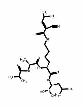 CC(C)C=C(C#N)C(=O)NCCCC[C@H](NC(=O)[C@H](C)NC(=O)C(C)C)C(=O)N[C@@H](CC(C)C)B(O)O